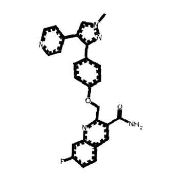 Cn1cc(-c2ccncc2)c(-c2ccc(OCc3nc4cc(F)ccc4cc3C(N)=O)cc2)n1